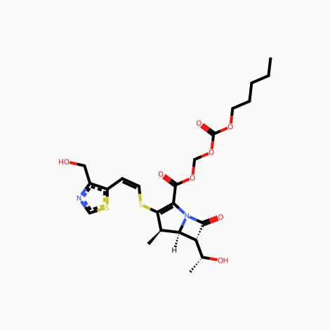 CCCCCOC(=O)OCOC(=O)C1=C(S/C=C\c2scnc2CO)[C@H](C)[C@@H]2[C@@H]([C@@H](C)O)C(=O)N12